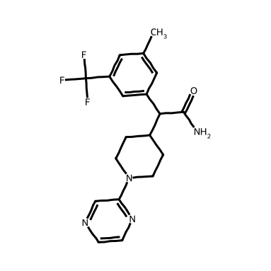 Cc1cc(C(C(N)=O)C2CCN(c3cnccn3)CC2)cc(C(F)(F)F)c1